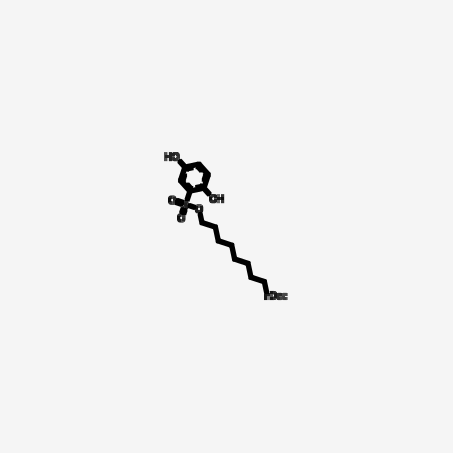 CCCCCCCCCCCCCCCCCCOS(=O)(=O)c1cc(O)ccc1O